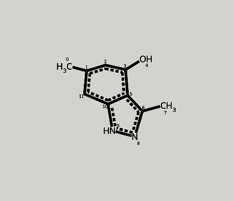 Cc1cc(O)c2c(C)n[nH]c2c1